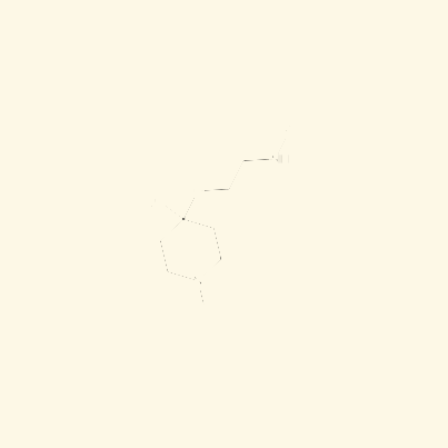 CNCCOC1(C)CCN(C)CC1